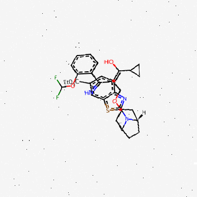 CCOC(=O)c1ccc2nc(N3C4CC[C@H]3CC(OC/C(C(=N)c3ccccc3OC(F)F)=C(/O)C3CC3)C4)sc2c1